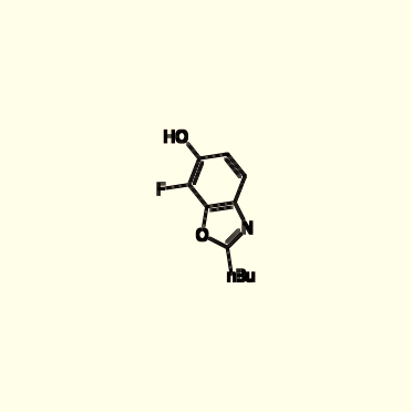 CCCCc1nc2ccc(O)c(F)c2o1